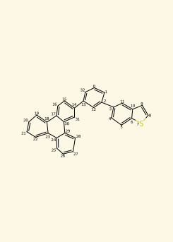 c1cc(-c2ccc3sccc3c2)cc(-c2ccc3c4ccccc4c4ccccc4c3c2)c1